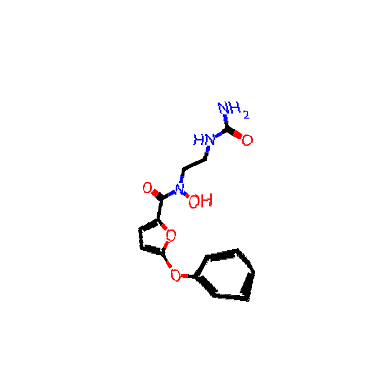 NC(=O)NCCN(O)C(=O)c1ccc(Oc2ccccc2)o1